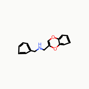 C1=C(CNCc2ccccc2)Oc2ccccc2O1